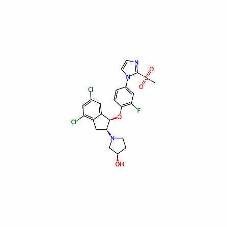 CS(=O)(=O)c1nccn1-c1ccc(O[C@@H]2c3cc(Cl)cc(Cl)c3C[C@@H]2N2CC[C@@H](O)C2)c(F)c1